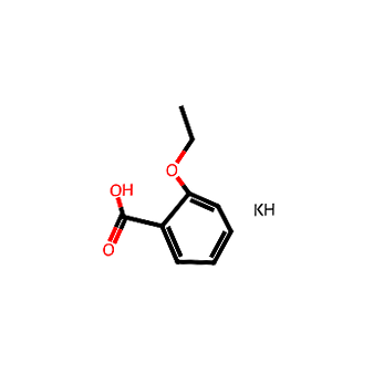 CCOc1ccccc1C(=O)O.[KH]